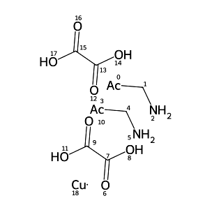 CC(=O)CN.CC(=O)CN.O=C(O)C(=O)O.O=C(O)C(=O)O.[Cu]